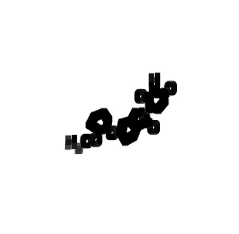 CO[C@H]1CCCC[C@@H]1Oc1ccc2c(c1)CN(C1CCC(=O)NC1=O)C2=O